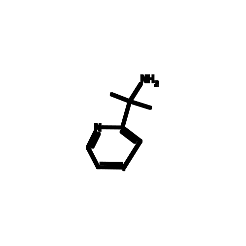 CC(C)(N)c1c[c]ccn1